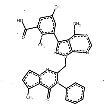 Cc1c(C(=O)O)cc(O)cc1-c1nn(Cc2nn3ccc(C)c3c(=O)n2-c2ccccc2)c2ncnc(N)c12